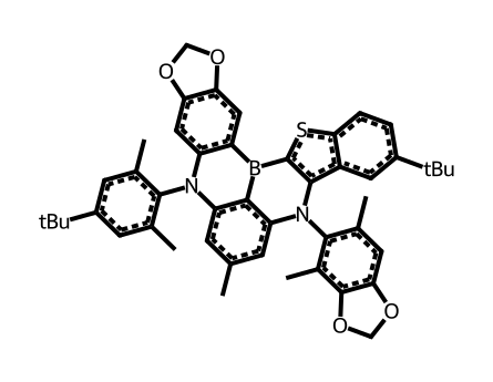 Cc1cc2c3c(c1)N(c1c(C)cc4c(c1C)OCO4)c1c(sc4ccc(C(C)(C)C)cc14)B3c1cc3c(cc1N2c1c(C)cc(C(C)(C)C)cc1C)OCO3